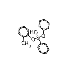 Cc1ccccc1O[Si](O)(Oc1ccccc1)c1ccccc1